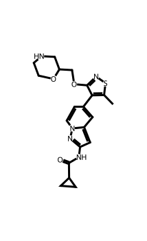 Cc1snc(OCC2CNCCO2)c1-c1ccn2nc(NC(=O)C3CC3)cc2c1